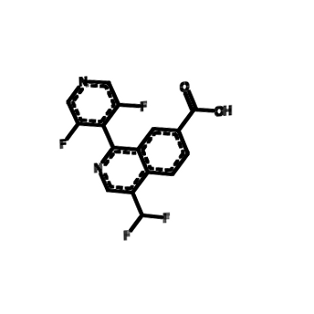 O=C(O)c1ccc2c(C(F)F)cnc(-c3c(F)cncc3F)c2c1